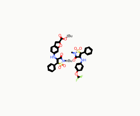 CCCCN1C(=O)C(Nc2ccc3cc(C(=O)OC(C)(C)C)oc3c2)=C(c2ccccc2)S1(=O)=O.CN1C(=O)C(Nc2ccc(OC(F)F)cc2)=C(c2ccccc2)S1(=O)=O